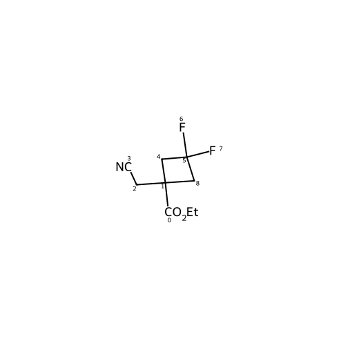 CCOC(=O)C1(CC#N)CC(F)(F)C1